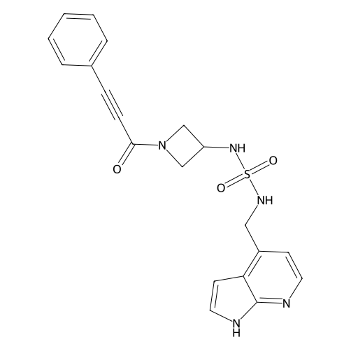 O=C(C#Cc1ccccc1)N1CC(NS(=O)(=O)NCc2ccnc3[nH]ccc23)C1